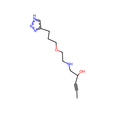 CC#CC(O)CNCCOCCCc1c[nH]nn1